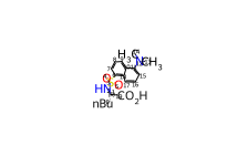 CCCC[C@H](NS(=O)(=O)c1cccc2c(N(C)C)cccc12)C(=O)O